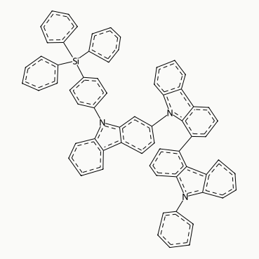 c1ccc(-n2c3ccccc3c3c(-c4cccc5c6ccccc6n(-c6ccc7c8ccccc8n(-c8ccc([Si](c9ccccc9)(c9ccccc9)c9ccccc9)cc8)c7c6)c45)cccc32)cc1